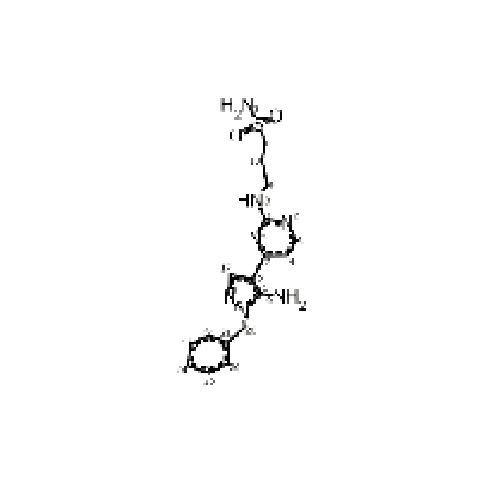 Nc1c(-c2ccnc(NCCCS(N)(=O)=O)n2)cnn1Cc1ccccc1